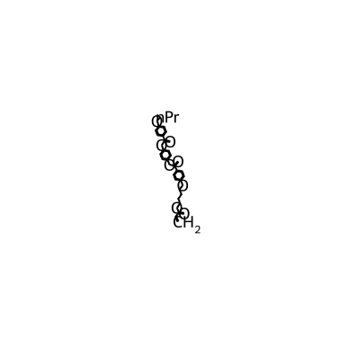 C=CC(=O)OCCCCOc1ccc(C(=O)Oc2ccc(OC(=O)c3ccc(OCCC)cc3)cc2)cc1